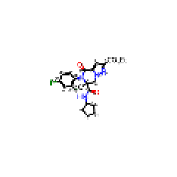 CCOC(=O)c1cc2n(n1)CC(C)(C(=O)NC1CCCC1)N(c1ccc(F)cc1F)C2=O